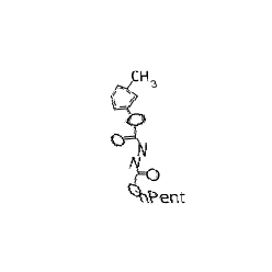 CCCCCOC(=O)/N=N/C(=O)Oc1cccc(C)c1